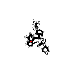 O=C(NC1CCOCC1)N[C@](Cc1ccccc1)(c1cccc(OC(F)(F)C(F)F)c1)c1ccc(I)cn1